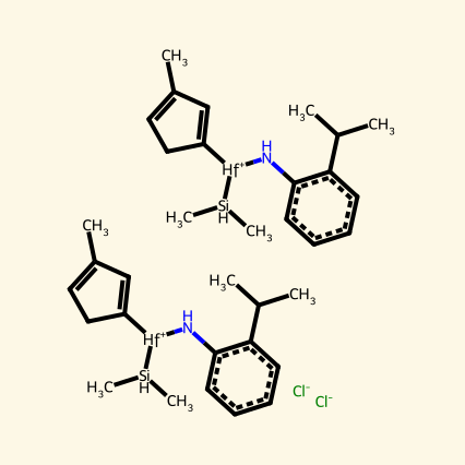 CC1=CC[C]([Hf+]([NH]c2ccccc2C(C)C)[SiH](C)C)=C1.CC1=CC[C]([Hf+]([NH]c2ccccc2C(C)C)[SiH](C)C)=C1.[Cl-].[Cl-]